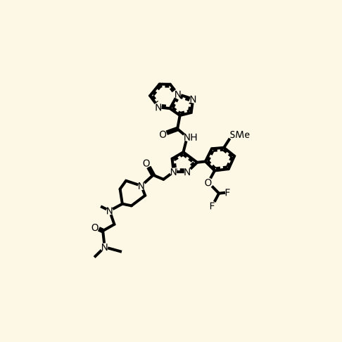 CSc1ccc(OC(F)F)c(-c2nn(CC(=O)N3CCC(N(C)CC(=O)N(C)C)CC3)cc2NC(=O)c2cnn3cccnc23)c1